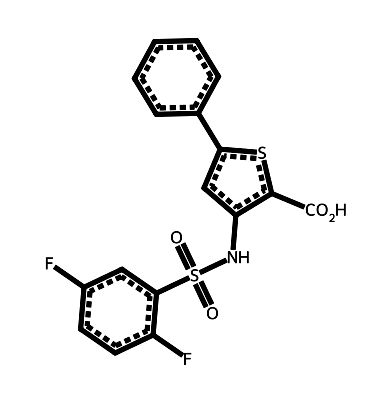 O=C(O)c1sc(-c2ccccc2)cc1NS(=O)(=O)c1cc(F)ccc1F